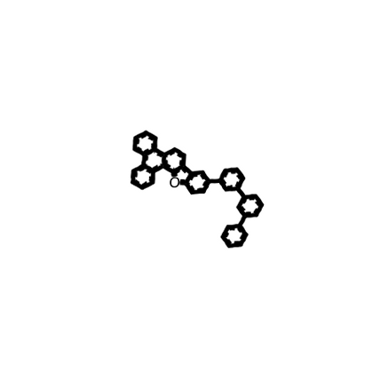 c1ccc(-c2cccc(-c3cccc(-c4ccc5oc6c(ccc7c8ccccc8c8ccccc8c76)c5c4)c3)c2)cc1